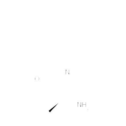 C[C@H](N)C(=O)N1CCc2ccccc21